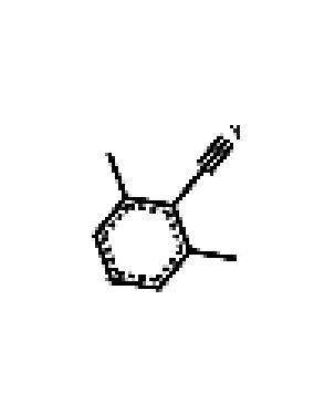 Cc1c[c]cc(C)c1C#N